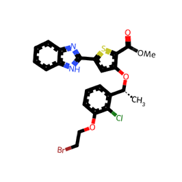 COC(=O)c1sc(-c2nc3ccccc3[nH]2)cc1O[C@H](C)c1cccc(OCCBr)c1Cl